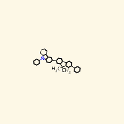 CC1(C)c2cc(-c3ccccc3)ccc2-c2ccc(-c3ccc4c(c3)c3c(n4-c4ccccc4)CCC=C3)cc21